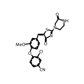 COc1cc(C=C2SC(N3CCNC(=O)C3)=NC2=O)ccc1Oc1ccc(C#N)cc1Cl